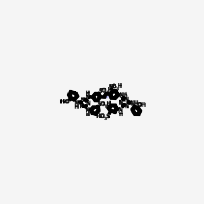 O=S(=O)(O)c1cccc(Nc2nc(Nc3ccc(/C=C/c4ccc(Nc5nc(Nc6cccc(S(=O)(=O)O)c6)nc(Nc6ccccc6O)n5)cc4S(=O)(=O)O)c(S(=O)(=O)O)c3)nc(Nc3ccccc3O)n2)c1